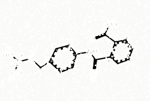 O=C(O)c1ccccc1C(=O)Nc1ccc(CON(O)O)cc1